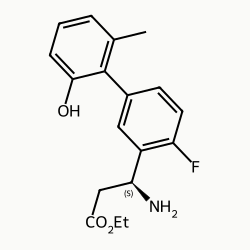 CCOC(=O)C[C@H](N)c1cc(-c2c(C)cccc2O)ccc1F